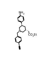 C#Cc1ccc(CN2C[C@@H](CC(=O)OCC)C[C@H](c3ccc(N)cc3)C2)cc1